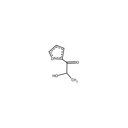 CC(O)C(=O)c1ccco1